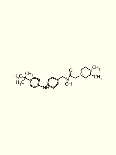 CC1CN(CC(=O)N(O)Cc2ccc(Nc3ccc(C(C)(C)C)cc3)cc2)CCN1C